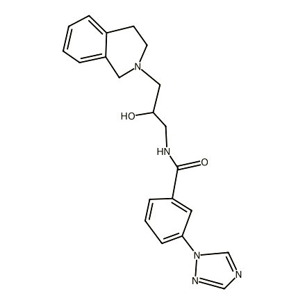 O=C(NCC(O)CN1CCc2ccccc2C1)c1cccc(-n2cncn2)c1